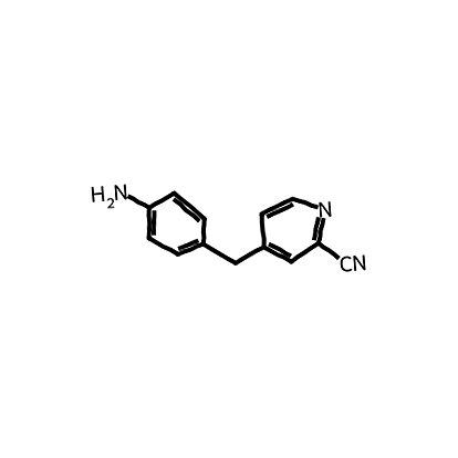 N#Cc1cc(Cc2ccc(N)cc2)ccn1